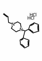 C=CCN1CCN(C(c2ccccc2)c2ccccc2)CC1.Cl.Cl